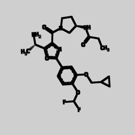 CCC(=O)N[C@@H]1CCN(C(=O)c2nc(-c3ccc(OC(F)F)c(OCC4CC4)c3)oc2[C@H](C)N)C1